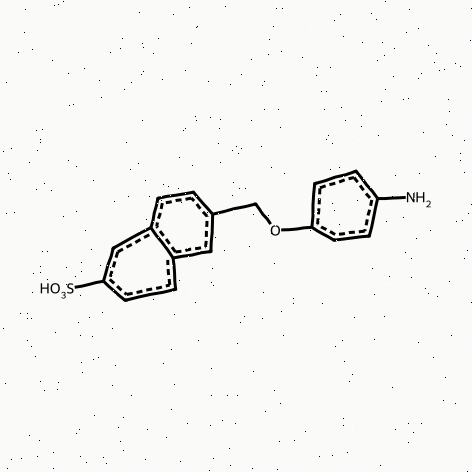 Nc1ccc(OCc2ccc3cc(S(=O)(=O)O)ccc3c2)cc1